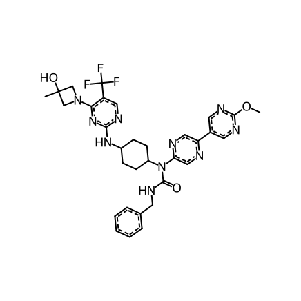 COc1ncc(-c2cnc(N(C(=O)NCc3ccccc3)C3CCC(Nc4ncc(C(F)(F)F)c(N5CC(C)(O)C5)n4)CC3)cn2)cn1